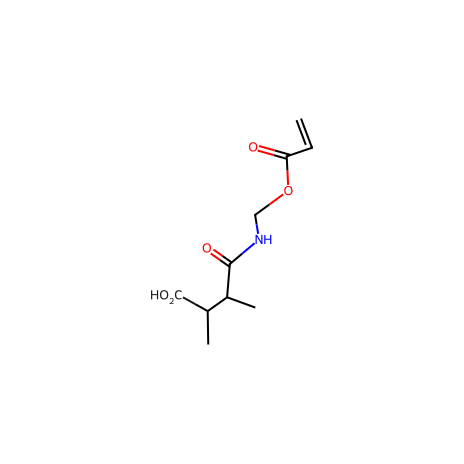 C=CC(=O)OCNC(=O)C(C)C(C)C(=O)O